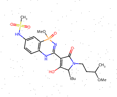 COC(C)CCN1C(=O)C(C2=NP(=O)(OC)c3cc(NS(C)(=O)=O)ccc3N2)=C(O)C1C(C)(C)C